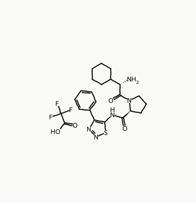 N[C@H](C(=O)N1CCC[C@H]1C(=O)Nc1snnc1-c1ccccc1)C1CCCCC1.O=C(O)C(F)(F)F